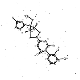 Cc1csc(C2(CN)[C@@H]3CN(c4cc(=O)n(-c5cccc(Cl)c5Cl)c(C)n4)C[C@@H]32)n1